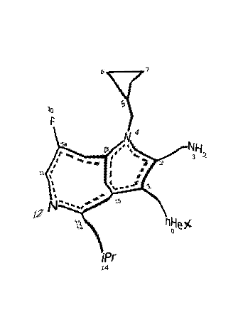 CCCCCCc1c(N)n(C2CC2)c2c(F)cnc(C(C)C)c12